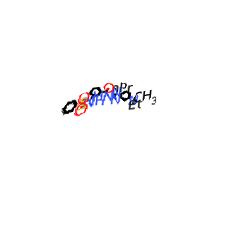 CCCn1c(NC(=O)c2cccc(NS(=O)(=O)c3ccccc3)c2)nc2cc(N(C)CC)ccc21